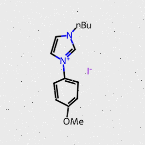 CCCCn1cc[n+](-c2ccc(OC)cc2)c1.[I-]